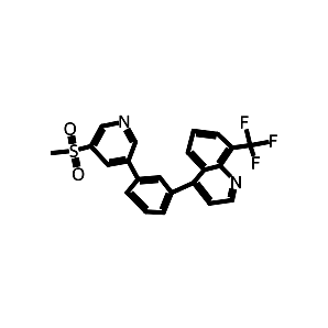 CS(=O)(=O)c1cncc(-c2cccc(-c3ccnc4c(C(F)(F)F)cccc34)c2)c1